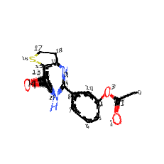 CC(=O)Oc1cccc(-c2nc3c(c(=O)[nH]2)SCC3)c1